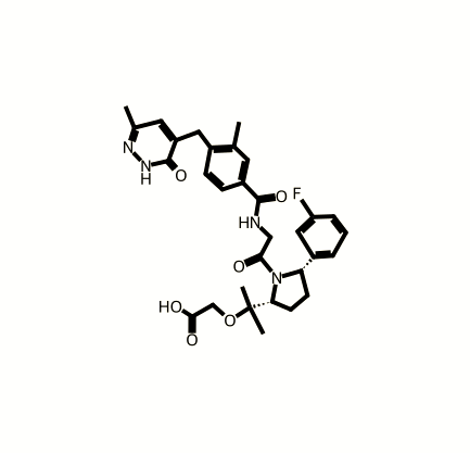 Cc1cc(Cc2ccc(C(=O)NCC(=O)N3[C@H](c4cccc(F)c4)CC[C@@H]3C(C)(C)OCC(=O)O)cc2C)c(=O)[nH]n1